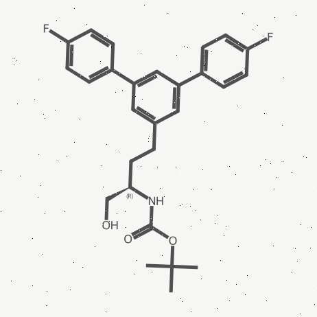 CC(C)(C)OC(=O)N[C@@H](CO)CCc1cc(-c2ccc(F)cc2)cc(-c2ccc(F)cc2)c1